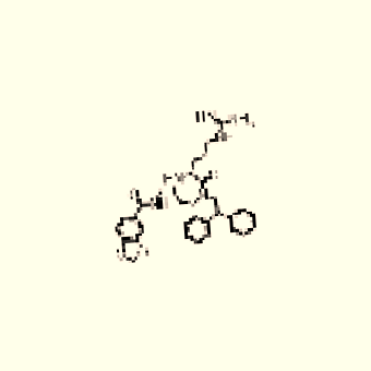 N=C(N)NCCC[C@@H]1N[C@H](CNC(=O)c2ccc3c(c2)OCO3)CCN(CC(c2ccccc2)c2ccccc2)C1=O